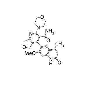 COc1cc2[nH]c(=O)cc(C)c2cc1-c1c2c(nc(N3CCOCC3)c1C(N)=O)COC2